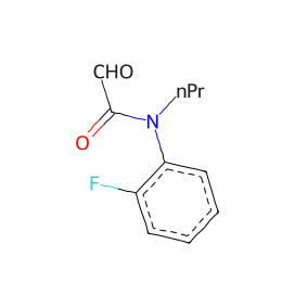 CCCN(C(=O)C=O)c1ccccc1F